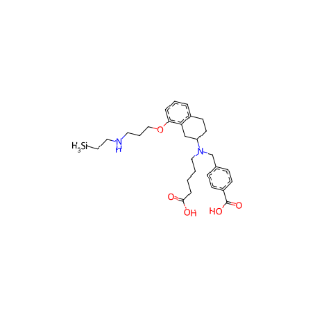 O=C(O)CCCCN(Cc1ccc(C(=O)O)cc1)C1CCc2cccc(OCCCNCC[SiH3])c2C1